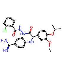 CCOc1cc(C(Nc2ccc(C(=N)N)cc2)C(=O)NNC(=O)c2ccccc2Cl)ccc1OC(C)C